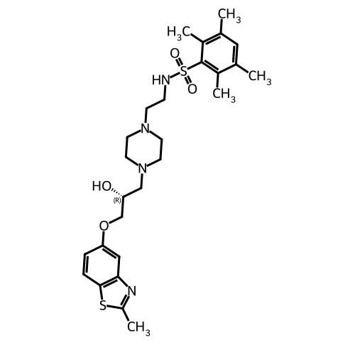 Cc1nc2cc(OC[C@H](O)CN3CCN(CCNS(=O)(=O)c4c(C)c(C)cc(C)c4C)CC3)ccc2s1